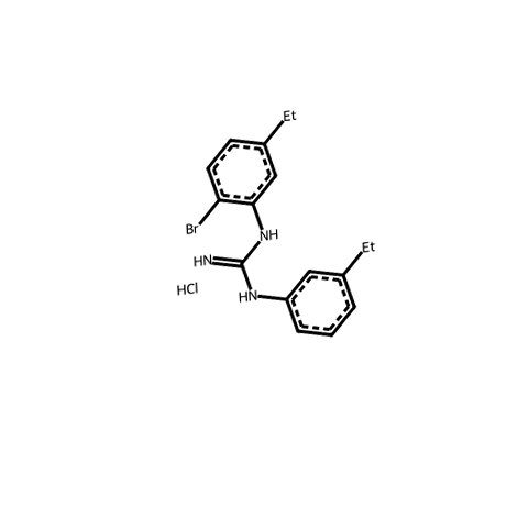 CCc1cccc(NC(=N)Nc2cc(CC)ccc2Br)c1.Cl